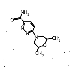 CC1CN(c2ccc(C(N)=O)nn2)CC(C)O1